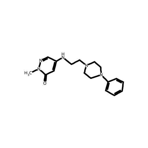 Cn1ncc(NCCN2CCN(c3ccccc3)CC2)cc1=O